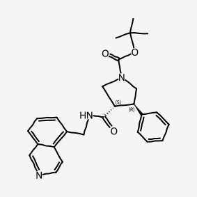 CC(C)(C)OC(=O)N1C[C@@H](C(=O)NCc2cccc3cnccc23)[C@H](c2ccccc2)C1